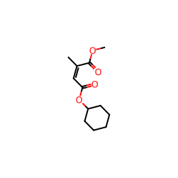 COC(=O)C(C)=CC(=O)OC1CCCCC1